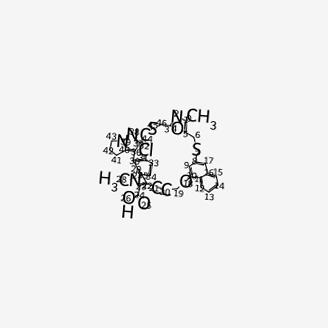 Cc1nc2oc1CSc1cc(c3ccccc3c1)OCCCc1c(C(=O)O)n(C)c3c(c(Cl)ccc13)-c1c(nn3c1CCC3)CSC2